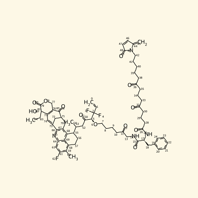 C=CC(F)(F)[C@@H](OCCCCC(=O)CNC(=O)[C@H](Cc1ccccc1)NC(=O)CCCC(=O)CCCC(=O)CCCCCN1C(=C)C=CC1=O)C(=O)CC(C)C1CCc2c(C)c(F)cc3nc4c(c1c23)CC1CC4=CC2=C(COC(=O)[C@]2(O)CC)C1=O